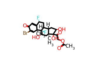 CC(=O)OCC(=O)[C@@]1(O)[C@H](O)C[C@H]2[C@@H]3C[C@@H](F)C4=CC(=O)C(Br)=C[C@]4(C)[C@@]3(F)[C@@H](O)C[C@@]21C